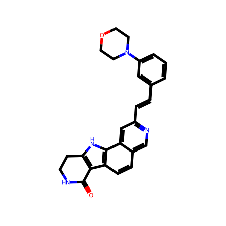 O=C1NCCc2[nH]c3c(ccc4cnc(/C=C/c5cccc(N6CCOCC6)c5)cc43)c21